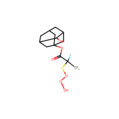 O=C(OC12CC3CC(C1)C(O)C(C3)C2)C(F)(SOOO)C(F)(F)F